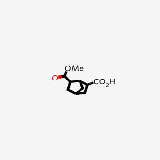 COC(=O)C1CC2CC(C(=O)O)C1C2